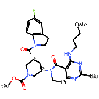 COCCCNc1nc(C(C)(C)C)ncc1C(=O)N(CC(C)C)[C@H]1C[C@@H](C(=O)N2CCc3cc(F)ccc32)CN(C(=O)OC(C)(C)C)C1